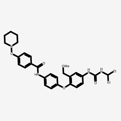 CCC(CC)NC(=O)Nc1ccc(Oc2ccc(NC(=O)c3ccc(ON4CCCCC4)cc3)cc2)c(COC)c1